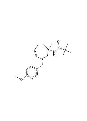 COc1ccc(CN2C=CC=CC(C)(N[S+]([O-])C(C)(C)C)C2)cc1